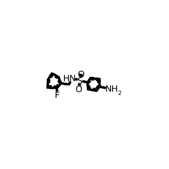 Nc1ccc(S(=O)(=O)NCc2ccccc2F)cc1